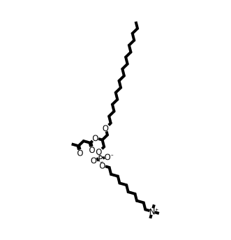 CCCCCCCCCCCCCCCCCCOCC(COP(=O)([O-])OCCCCCCCCCC[N+](C)(C)C)OC(=O)CC(C)=O